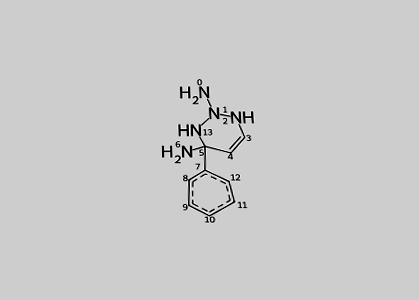 NN1NC=CC(N)(c2ccccc2)N1